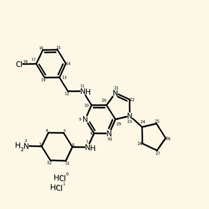 Cl.Cl.NC1CCC(Nc2nc(NCc3cccc(Cl)c3)c3ncn(C4CCCC4)c3n2)CC1